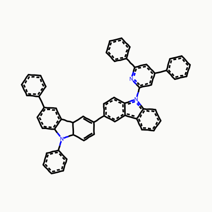 C1=CC2C(C=C1c1ccc3c(c1)c1ccccc1n3-c1cc(-c3ccccc3)cc(-c3ccccc3)n1)c1cc(-c3ccccc3)ccc1N2c1ccccc1